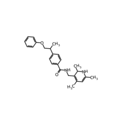 CC1=CC(C)=C(CNC(=O)c2ccc(C(C)COc3ccccc3)cc2)C(C)N1